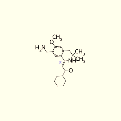 COc1cc2c(cc1CN)/C(=C/C(=O)C1CCCCC1)NC(C)(C)C2